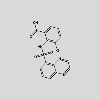 O=C(O)c1cccc(Cl)c1NS(=O)(=O)c1cccc2nccnc12